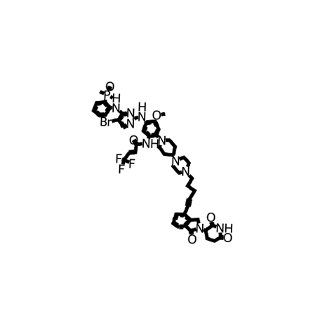 COc1cc(N2CCC(N3CCN(CCCC#Cc4cccc5c4CN(C4CCC(=O)NC4=O)C5=O)CC3)CC2)c(NC(=O)/C=C/C(F)(F)F)cc1Nc1ncc(Br)c(Nc2ccccc2P(C)(C)=O)n1